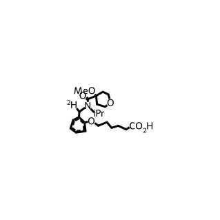 [2H]C(c1ccccc1OCCCCCC(=O)O)N(C(=O)C1(OC)CCOCC1)C(C)C